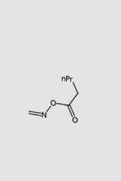 C=NOC(=O)CCCC